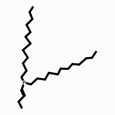 CCC=CP(CCCCCCCCCCCC)CCCCCCCCCCCC